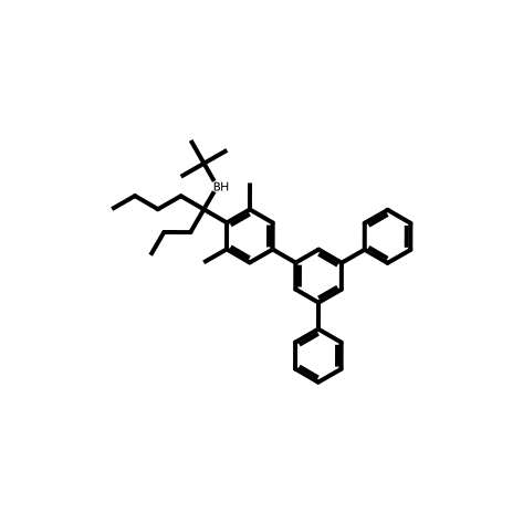 CCCCC(BC(C)(C)C)(CCC)c1c(C)cc(-c2cc(-c3ccccc3)cc(-c3ccccc3)c2)cc1C